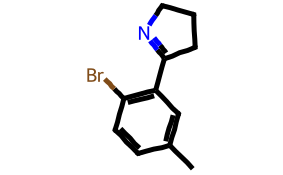 Cc1ccc(Br)c(C2=NCCC2)c1